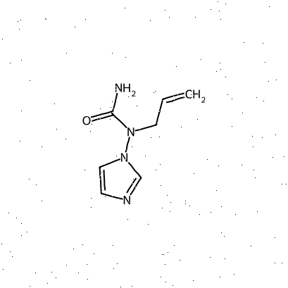 C=CCN(C(N)=O)n1ccnc1